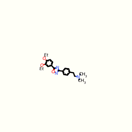 CCOc1ccc(-c2nc(-c3ccc(CCN(C)C)cc3)no2)cc1OCC